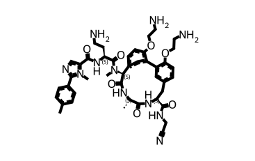 Cc1ccc(-c2ncc(C(=O)N[C@@H](CCN)C(=O)N(C)[C@@H]3C(=O)N[C@@H](C)C(=O)N[C@H](C(=O)NCC#N)Cc4ccc(OCCN)c(c4)-c4cc3ccc4OCCN)n2C)cc1